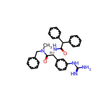 CN(Cc1ccccc1)C(=O)[C@H](NC(=O)C(c1ccccc1)c1ccccc1)c1cccc(NC(=N)N)c1